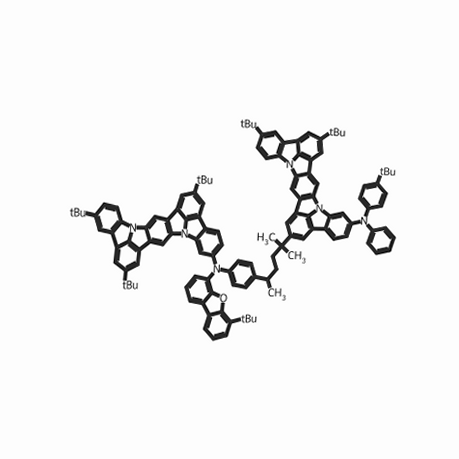 CC(CCC(C)(C)c1cc2c3ccc(N(c4ccccc4)c4ccc(C(C)(C)C)cc4)cc3n3c4cc5c6cc(C(C)(C)C)cc7c8cc(C(C)(C)C)ccc8n(c5cc4c(c1)c23)c76)c1ccc(N(c2ccc3c4cc(C(C)(C)C)cc5c6cc7c(cc6n(c3c2)c45)c2cc(C(C)(C)C)cc3c4cc(C(C)(C)C)ccc4n7c32)c2cccc3c2oc2c(C(C)(C)C)cccc23)cc1